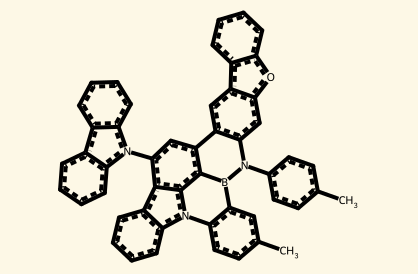 Cc1ccc(N2B3c4cc(C)ccc4-n4c5ccccc5c5c(-n6c7ccccc7c7ccccc76)cc(c3c54)-c3cc4c(cc32)oc2ccccc24)cc1